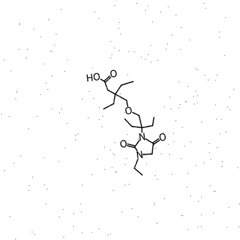 CCN1CC(=O)N(C(CC)(CC)COCC(CC)(CC)CC(=O)O)C1=O